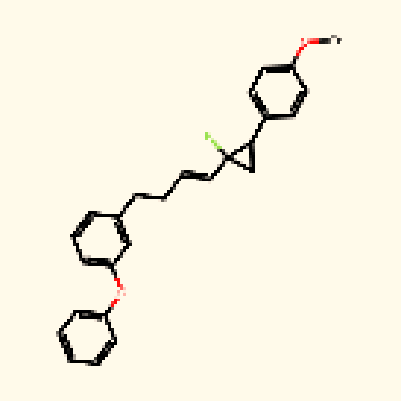 CCOc1ccc(C2CC2(F)C=CCCc2cccc(Oc3ccccc3)c2)cc1